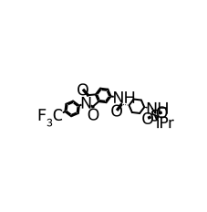 CC(C)S(=O)(=O)N[C@H]1CC[C@H](C(=O)Nc2ccc3c(c2)C(=O)N(c2ccc(C(F)(F)F)cc2)C3=O)CC1